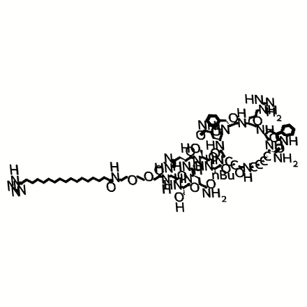 CCCC[C@H](NC(=O)[C@H](CO)NC(=O)[C@H](Cc1c[nH]cn1)NC(=O)[C@@H](CCC(N)=O)NC(=O)[C@H](CO)NC(=O)CNC(=O)COCCOCCNC(=O)CCCCCCCCCCCCCCCc1nnn[nH]1)C(=O)N[C@H]1CCC(=O)NCCCC[C@@H](C(N)=O)NC(=O)[C@H](Cc2c[nH]c3ccccc23)NC(=O)[C@H](CCCNC(=N)N)NC(=O)[C@@H](Cc2ccccc2)NC(=O)[C@H](CCC(N)=O)NC1=O